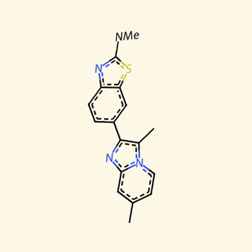 CNc1nc2ccc(-c3nc4cc(C)ccn4c3C)cc2s1